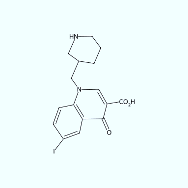 O=C(O)c1cn(CC2CCCNC2)c2ccc(I)cc2c1=O